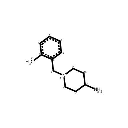 Cc1ccccc1CN1CCC(N)CC1